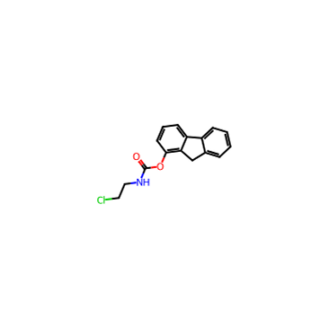 O=C(NCCCl)Oc1cccc2c1Cc1ccccc1-2